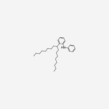 CCCCCCCCC(CCCCCCCC)c1ccccc1Nc1ccccc1